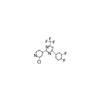 Fc1ccc(-c2cc(C(F)(F)F)nc(-c3ccnc(Cl)c3)n2)cc1F